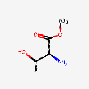 CCCCOC(=O)[C@@H](N)[C@@H](C)O